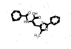 Cc1nc(-c2ccccc2)sc1/C=C(/NC(=O)c1ccccc1)C(=O)O